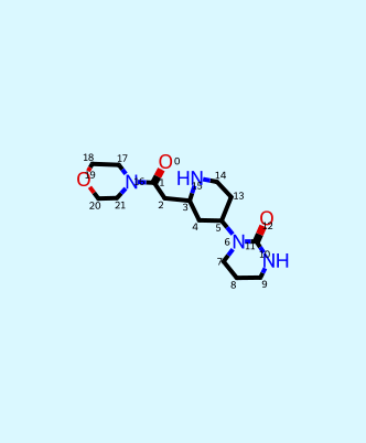 O=C(CC1CC(N2CCCNC2=O)CCN1)N1CCOCC1